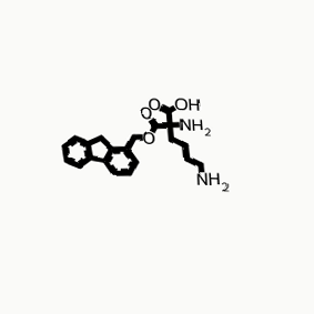 NCCCCC(N)(C(=O)O)C(=O)OCc1cccc2c1Cc1ccccc1-2